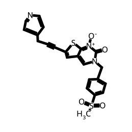 CS(=O)(=O)c1ccc(Cn2cc3cc(C#CCc4ccncc4)sc3[n+]([O-])c2=O)cc1